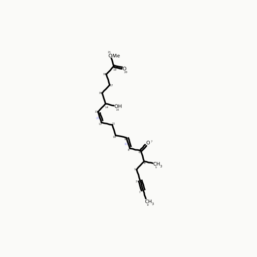 CC#CCC(C)C(=O)/C=C/CC/C=C\C(O)CCCC(=O)OC